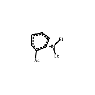 CC(=O)c1ccccc1.CCNCC